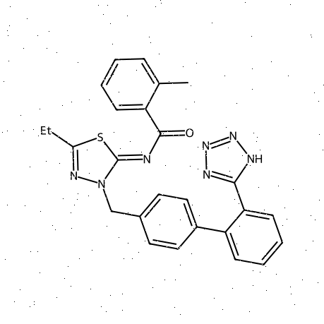 CCc1nn(Cc2ccc(-c3ccccc3-c3nnn[nH]3)cc2)c(=NC(=O)c2ccccc2C)s1